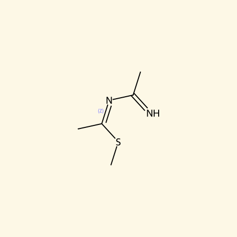 CS/C(C)=N\C(C)=N